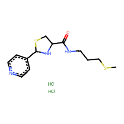 CSCCCNC(=O)C1CSC(c2ccncc2)N1.Cl.Cl